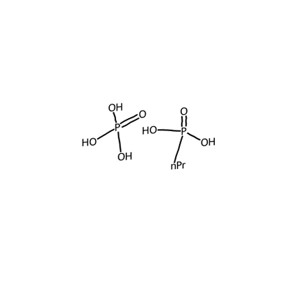 CCCP(=O)(O)O.O=P(O)(O)O